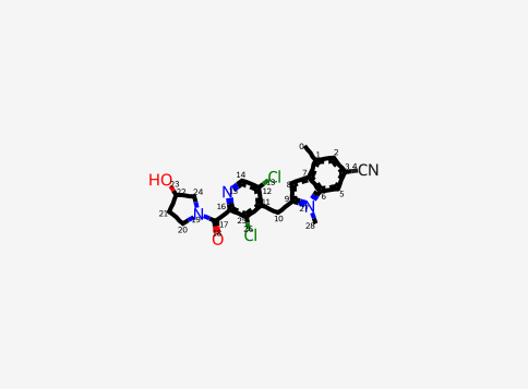 Cc1cc(C#N)cc2c1cc(Cc1c(Cl)cnc(C(=O)N3CCC(O)C3)c1Cl)n2C